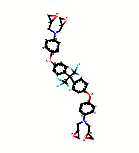 FC(F)(F)C(c1ccc(Oc2ccc(N(CC3CO3)CC3CO3)cc2)cc1)(c1ccc(Oc2ccc(N(CC3CO3)CC3CO3)cc2)cc1)C(F)(F)F